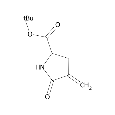 C=C1CC(C(=O)OC(C)(C)C)NC1=O